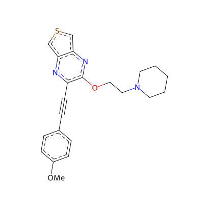 COc1ccc(C#Cc2nc3cscc3nc2OCCN2CCCCC2)cc1